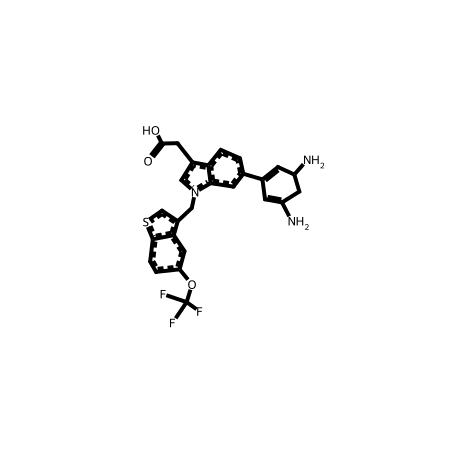 NC1=CC(c2ccc3c(CC(=O)O)cn(Cc4csc5ccc(OC(F)(F)F)cc45)c3c2)=CC(N)C1